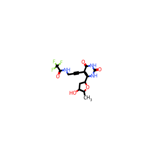 CC1OC(c2[nH]c(=O)[nH]c(=O)c2C#CCNC(=O)C(F)(F)F)CC1O